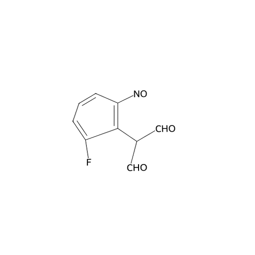 O=CC(C=O)c1c(F)cccc1N=O